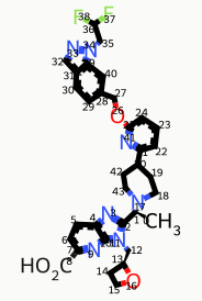 C[C@@H](c1nc2ccc(C(=O)O)nc2n1C[C@@H]1CCO1)N1CCC(c2cccc(OCc3ccc4cnn(CC(F)F)c4c3)n2)CC1